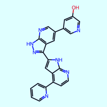 Oc1cncc(-c2cnc3[nH]nc(-c4cc5c(-c6ccccn6)ccnc5[nH]4)c3c2)c1